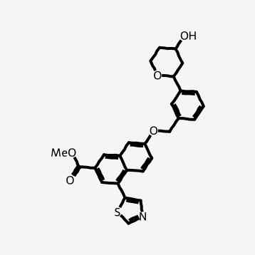 COC(=O)c1cc(-c2cncs2)c2ccc(OCc3cccc(C4CC(O)CCO4)c3)cc2c1